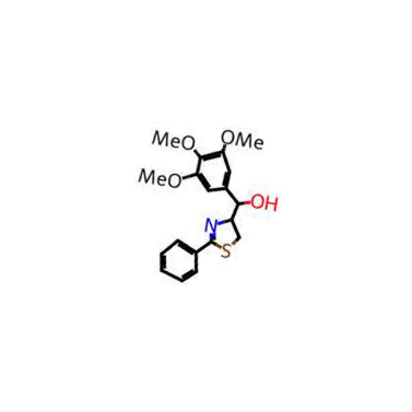 COc1cc(C(O)C2CSC(c3ccccc3)=N2)cc(OC)c1OC